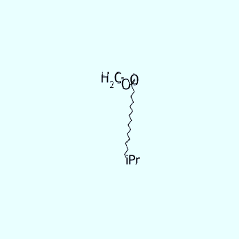 C=COC(=O)CCCCCCCCCCCCCCC(C)C